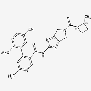 COc1ccc(C#N)cc1-c1cc(C)ncc1C(=O)Nc1nc2c(s1)CN(C(=O)[C@@H]1CC[C@H]1C)C2